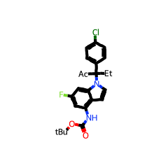 CCC(C(C)=O)(c1ccc(Cl)cc1)n1ccc2c(NC(=O)OC(C)(C)C)cc(F)cc21